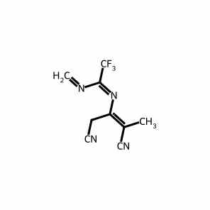 C=N/C(=N\C(CC#N)=C(/C)C#N)C(F)(F)F